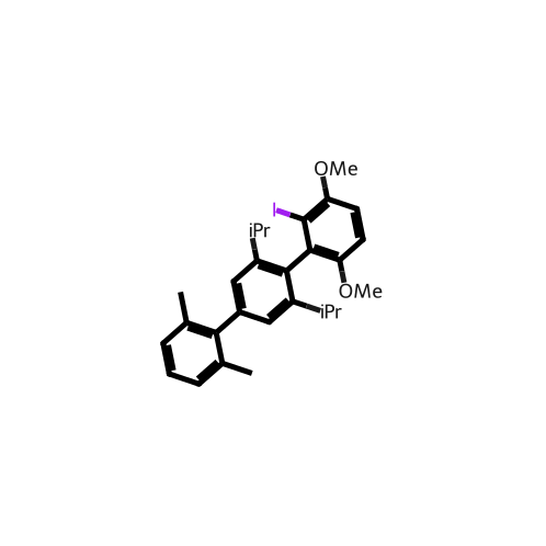 COc1ccc(OC)c(-c2c(C(C)C)cc(-c3c(C)cccc3C)cc2C(C)C)c1I